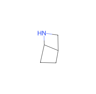 C1CC2NCC12